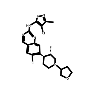 Cc1nsc(Nc2ncc3cc(Cl)c([C@@H]4CCN(C5CCOC5)C[C@H]4F)cc3n2)c1Cl